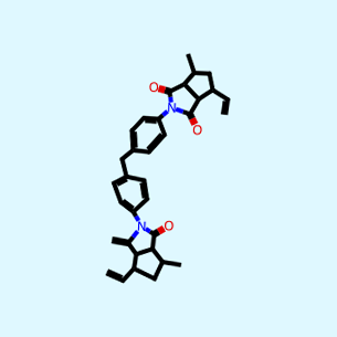 C=CC1CC(C)C2C(=O)N(c3ccc(Cc4ccc(N5C(=O)C6C(C)CC(C=C)C6C5=O)cc4)cc3)C(=C)C12